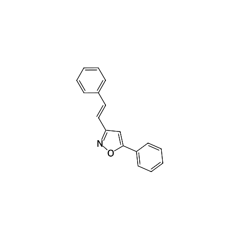 C(=Cc1cc(-c2ccccc2)on1)c1ccccc1